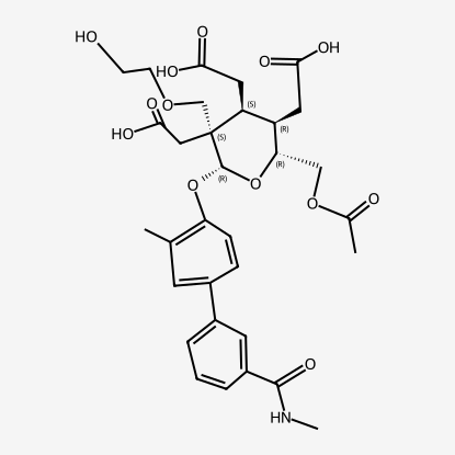 CNC(=O)c1cccc(-c2ccc(O[C@H]3O[C@@H](COC(C)=O)[C@H](CC(=O)O)[C@H](CC(=O)O)[C@]3(COCCO)CC(=O)O)c(C)c2)c1